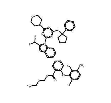 CCOCOC(=O)c1ccccc1Nc1c(Cl)ccc(C)c1Cl.FC(F)c1nc2ccccc2n1-c1nc(NC2(c3ccccc3)CCCC2)nc(N2CCOCC2)n1